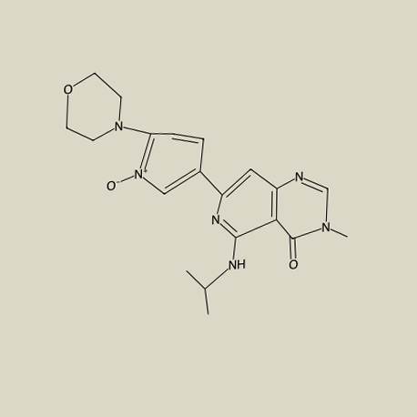 CC(C)Nc1nc(-c2ccc(N3CCOCC3)[n+]([O-])c2)cc2ncn(C)c(=O)c12